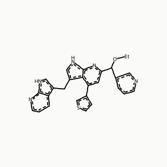 CCOC(c1cccnc1)c1cc(-c2ccsc2)c2c(Cc3c[nH]c4ncccc34)c[nH]c2n1